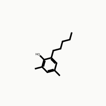 CCCCCc1cc(C)cc(C)c1O